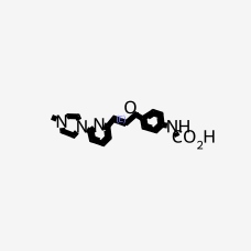 CN1CCN(c2cccc(/C=C/C(=O)c3ccc(NC(=O)O)cc3)n2)CC1